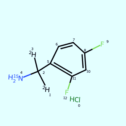 Cl.[2H]C([2H])([15NH2])c1ccc(F)cc1F